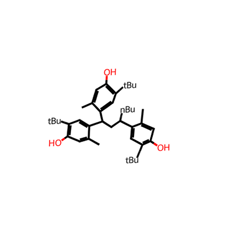 CCCCC(CC(c1cc(C(C)(C)C)c(O)cc1C)c1cc(C(C)(C)C)c(O)cc1C)c1cc(C(C)(C)C)c(O)cc1C